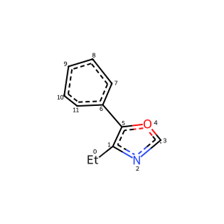 CCc1n[c]oc1-c1ccccc1